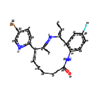 C\C=C1/N=C(C)/C(c2ccc(Br)cn2)=C\CCCC(=O)Nc2ccc(F)cc21